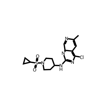 Cc1cc2c(Cl)nc(NC3CCN(S(=O)(=O)C4CC4)CC3)nc2cn1